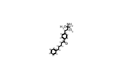 CC(C)(N)CCc1ccc(C(=O)CCCCc2ccccc2)cc1